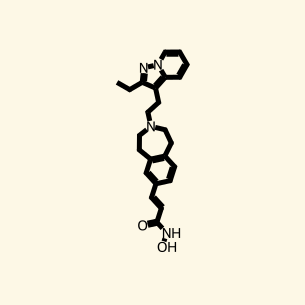 CCc1nn2ccccc2c1CCN1CCc2ccc(/C=C/C(=O)NO)cc2CC1